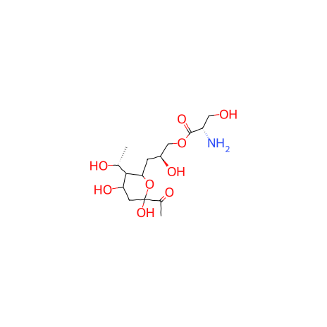 CC(=O)C1(O)CC(O)C([C@@H](C)O)C(C[C@H](O)COC(=O)[C@@H](N)CO)O1